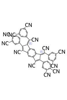 N#CC1=C(c2ccc(C#N)c(C#N)c2)/C(=C(/C#N)c2cc(C#N)cc(C#N)c2)c2cc3c(cc21)C(C#N)=C(c1ccc(C#N)c(C#N)c1)/C3=C(/C#N)c1cc(C#N)cc(C#N)c1